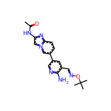 CC(=O)Nc1cn2cc(-c3cnc(N)c(/C=N/OC(C)(C)C)c3)ccc2n1